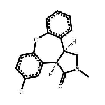 CN1C[C@@H]2c3ccccc3Oc3ccc(Cl)cc3[C@@H]2C1=O